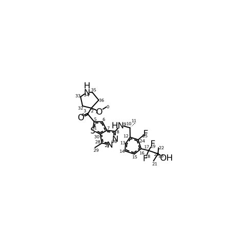 COC1(C(=O)c2cc3c(N[C@H](C)c4cccc(C(F)(F)C(C)(C)O)c4F)nnc(C)c3s2)CCNCC1